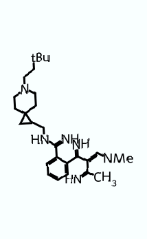 CN/C=C(\C(C)=N)C(=N)c1ccccc1C(=N)NCC1CC12CCN(CCC(C)(C)C)CC2